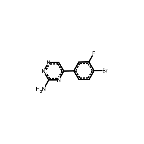 Nc1nncc(-c2ccc(Br)c(F)c2)n1